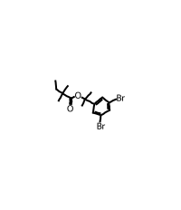 CCC(C)(C)C(=O)OC(C)(C)c1cc(Br)cc(Br)c1